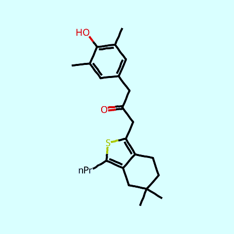 CCCc1sc(CC(=O)Cc2cc(C)c(O)c(C)c2)c2c1CC(C)(C)CC2